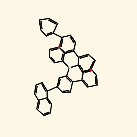 c1ccc(-c2ccc(-c3ccccc3N(c3ccccc3)c3cc(-c4cccc5ccccc45)ccc3-c3ccccc3)cc2)cc1